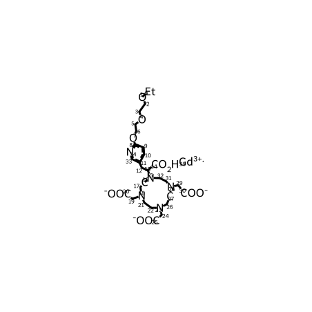 CCOCCOCCOc1ccc(CC(C(=O)O)N2CCN(CC(=O)[O-])CCN(CC(=O)[O-])CCN(CC(=O)[O-])CC2)cn1.[Gd+3]